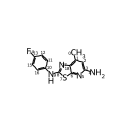 Cc1cc(N)nc2sc(Nc3ccc(F)cc3)nc12